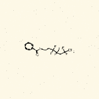 O=C(SCCC(F)(F)C(F)(F)CC(F)(F)C(F)(F)F)c1ccccc1